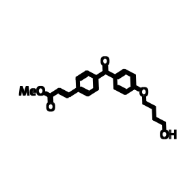 COC(=O)C=Cc1ccc(C(=O)c2ccc(OCCCCO)cc2)cc1